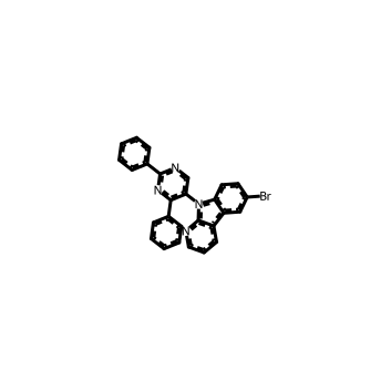 Brc1ccc2c(c1)c1cccnc1n2-c1cnc(-c2ccccc2)nc1-c1ccccc1